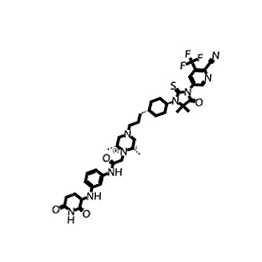 C[C@@H]1CN(CCC[C@H]2CC[C@H](N3C(=S)N(c4cnc(C#N)c(C(F)(F)F)c4)C(=O)C3(C)C)CC2)C[C@H](C)N1CC(=O)Nc1cccc(NC2CCC(=O)NC2=O)c1